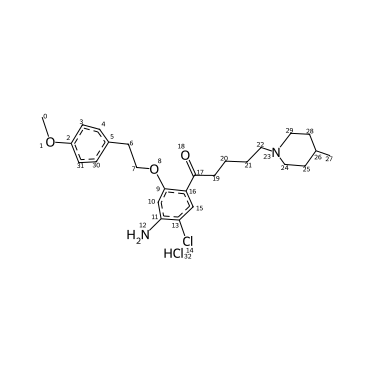 COc1ccc(CCOc2cc(N)c(Cl)cc2C(=O)CCCCN2CCC(C)CC2)cc1.Cl